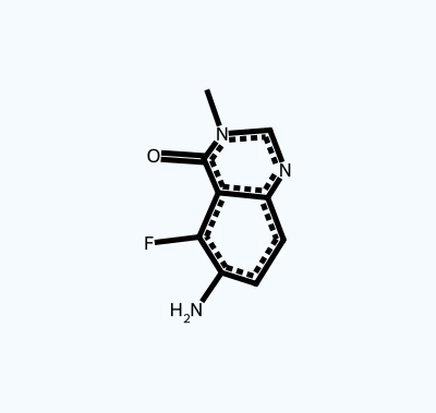 Cn1cnc2ccc(N)c(F)c2c1=O